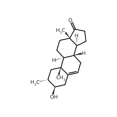 C[C@@H]1C[C@@]2(C)C(=CC[C@@H]3[C@@H]2CC[C@]2(C)C(=O)CC[C@@H]32)C[C@H]1O